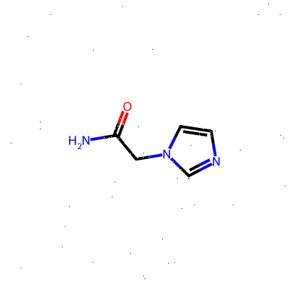 NC(=O)Cn1[c]ncc1